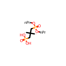 [CH2]C([CH2])(CP(=O)(O)O)CP(=O)(OCCC)OCCC